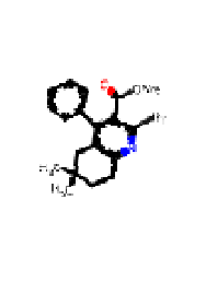 COC(=O)c1c(C(C)C)nc2c(c1-c1ccccc1)CC(C)(C)CC2